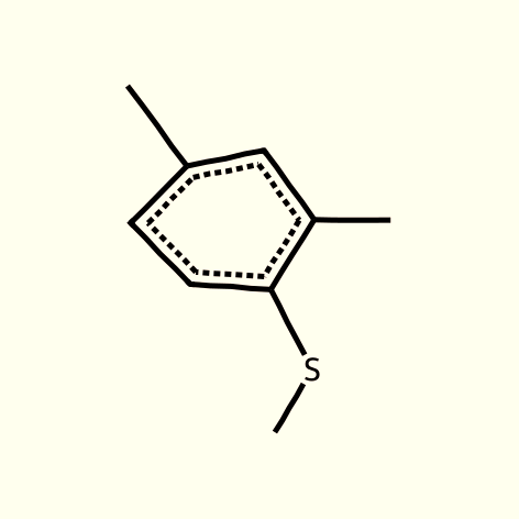 CSc1ccc(C)cc1C